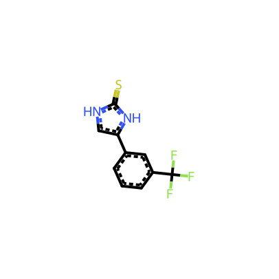 FC(F)(F)c1cccc(-c2c[nH]c(=S)[nH]2)c1